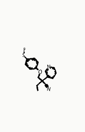 CCC(C#N)(COc1ccc(SF)cc1)c1cccnc1